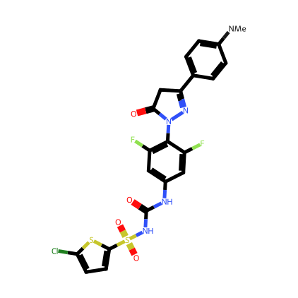 CNc1ccc(C2=NN(c3c(F)cc(NC(=O)NS(=O)(=O)c4ccc(Cl)s4)cc3F)C(=O)C2)cc1